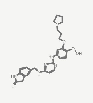 O=C1Cc2cc(CNc3ccnc(Nc4ccc(OO)c(OCCCN5CCCC5)c4)n3)ccc2N1